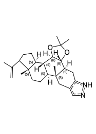 C=C(C)C1CC[C@H]2[C@@H]3[C@H]4OC(C)(C)O[C@@H]4[C@H]4Cc5[nH]ncc5C[C@]4(C)[C@H]3CC[C@]12C